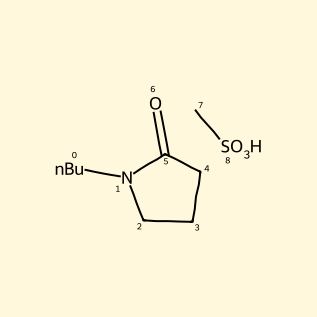 CCCCN1CCCC1=O.CS(=O)(=O)O